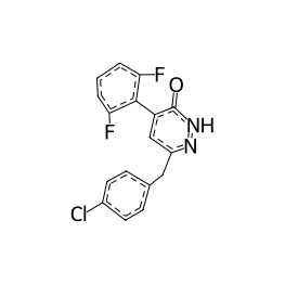 O=c1[nH]nc(Cc2ccc(Cl)cc2)cc1-c1c(F)cccc1F